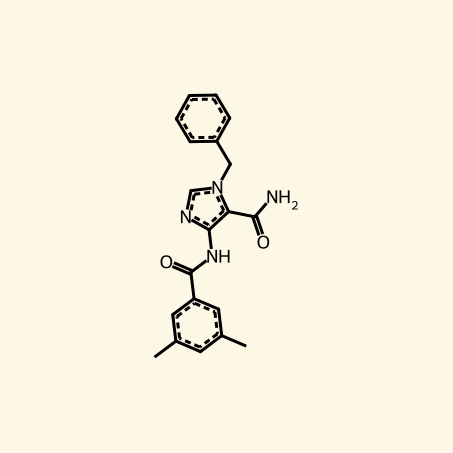 Cc1cc(C)cc(C(=O)Nc2ncn(Cc3ccccc3)c2C(N)=O)c1